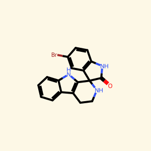 O=C1Nc2ccc(Br)cc2C12NCCc1c2[nH]c2ccccc12